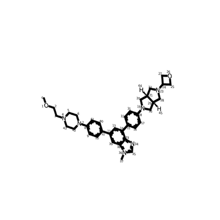 COCCN1CCN(c2ccc(-c3cc(-c4ccc(N5C[C@@H]6CN(C7COC7)C[C@@H]6C5)cc4)c4ncn(C)c4c3)cc2)CC1